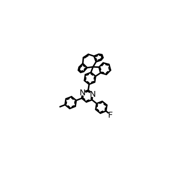 Cc1ccc(-c2cc(-c3ccc(F)cc3)nc(-c3ccc4c(c3)-c3ccccc3C43c4ccccc4C=Cc4ccccc43)n2)cc1